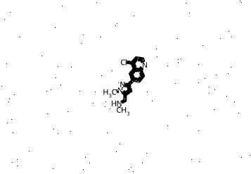 CNCc1cc(-c2ccc3nccc(Cl)c3c2)nn1C